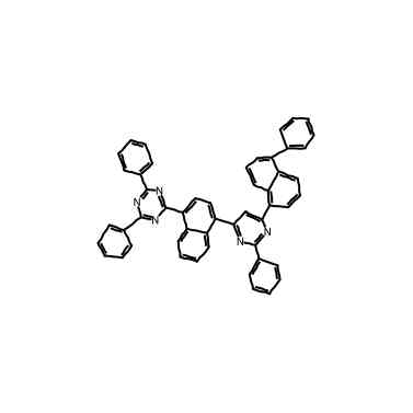 c1ccc(-c2nc(-c3cccc4c(-c5ccccc5)cccc34)cc(-c3ccc(-c4nc(-c5ccccc5)nc(-c5ccccc5)n4)c4ccccc34)n2)cc1